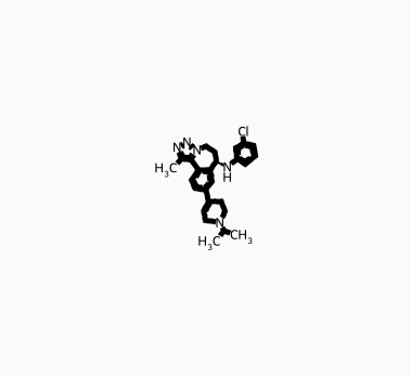 Cc1nnn2c1-c1ccc(C3=CCN(C(C)C)CC3)cc1[C@H](Nc1cccc(Cl)c1)CC2